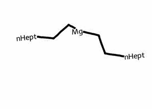 CCCCCCCC[CH2][Mg][CH2]CCCCCCCC